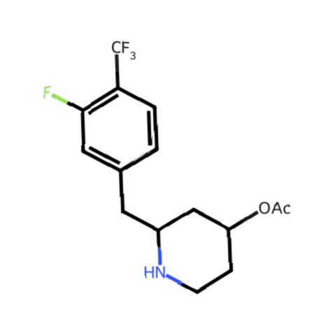 CC(=O)OC1CCNC(Cc2ccc(C(F)(F)F)c(F)c2)C1